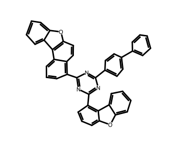 c1ccc(-c2ccc(-c3nc(-c4cccc5c4ccc4oc6ccccc6c45)nc(-c4cccc5oc6ccccc6c45)n3)cc2)cc1